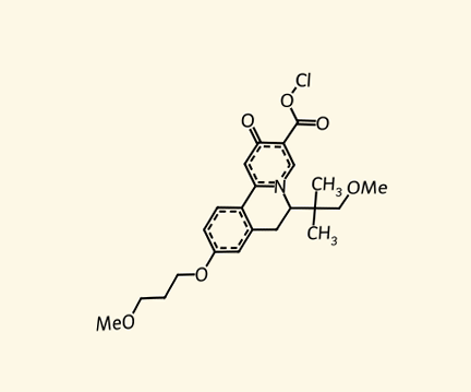 COCCCOc1ccc2c(c1)CC(C(C)(C)COC)n1cc(C(=O)OCl)c(=O)cc1-2